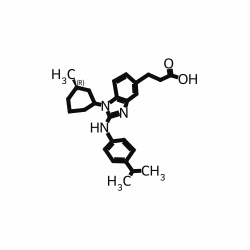 CC(C)c1ccc(Nc2nc3cc(CCC(=O)O)ccc3n2C2CCC[C@@H](C)C2)cc1